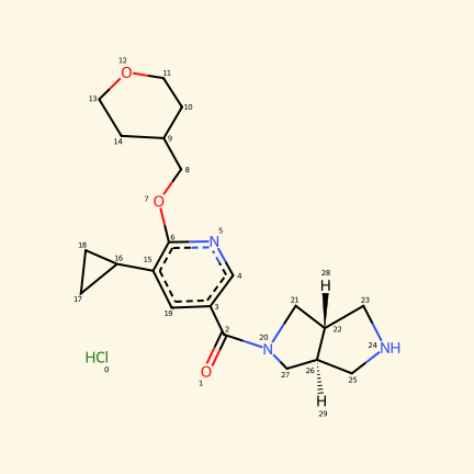 Cl.O=C(c1cnc(OCC2CCOCC2)c(C2CC2)c1)N1C[C@@H]2CNC[C@H]2C1